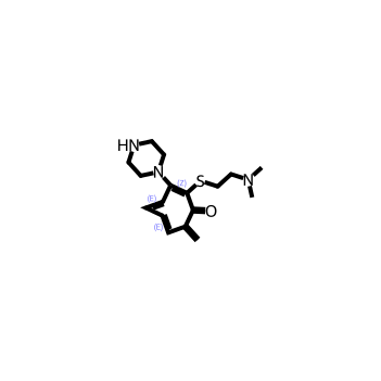 C=C1/C=C/C=C/C(N2CCNCC2)=C(/SCCN(C)C)C1=O